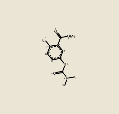 COC(=O)c1cc(SC(=O)N(C)C)ccc1Cl